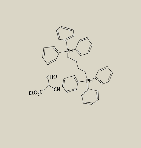 CCOC(=O)C(C#N)C=O.c1ccc([PH](CCCC[PH](c2ccccc2)(c2ccccc2)c2ccccc2)(c2ccccc2)c2ccccc2)cc1